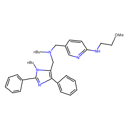 CCCCN(Cc1ccc(NCCOC)nc1)Cc1c(-c2ccccc2)nc(-c2ccccc2)n1CCCC